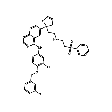 O=S(=O)(CCNCCC1(c2ccc3ncnc(Nc4ccc(OCc5cccc(F)c5)c(Cl)c4)c3c2)CC=CO1)c1ccccc1